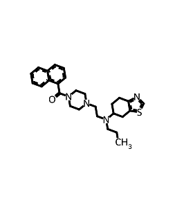 CCCN(CCN1CCN(C(=O)c2cccc3ccccc23)CC1)C1CCc2ncsc2C1